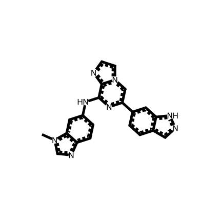 Cn1cnc2ccc(Nc3nc(-c4ccc5cn[nH]c5c4)cn4ccnc34)cc21